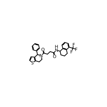 O=C(CCC(=O)N1CCc2sccc2C1c1ccccc1)NC1CCCc2c1cccc2C(F)(F)F